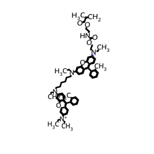 C=C(C)C(=O)OCCNC(=O)OCC/[N+](CC)=c1/ccc2c(-c3ccccc3C)c3ccc(N(CC)CCCCCCN(CC)c4ccc5c(-c6ccccc6C)c6ccc(=[N+](CC)CC)cc-6oc5c4)cc3oc-2c1